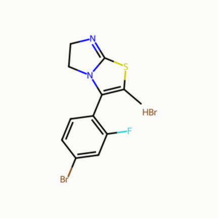 Br.CC1=C(c2ccc(Br)cc2F)N2CCN=C2S1